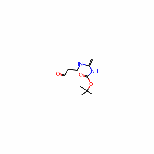 C=C(NCCC=O)NC(=O)OC(C)(C)C